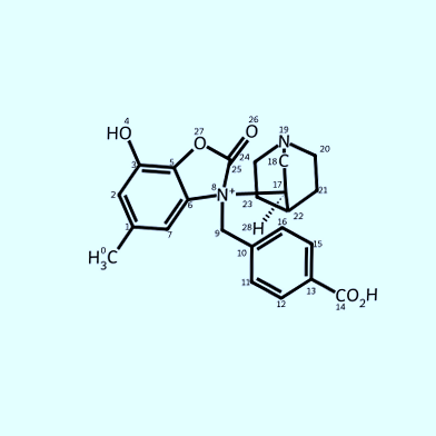 Cc1cc(O)c2c(c1)[N+](Cc1ccc(C(=O)O)cc1)([C@H]1CN3CCC1CC3)C(=O)O2